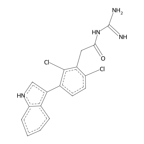 N=C(N)NC(=O)Cc1c(Cl)ccc(-c2c[nH]c3ccccc23)c1Cl